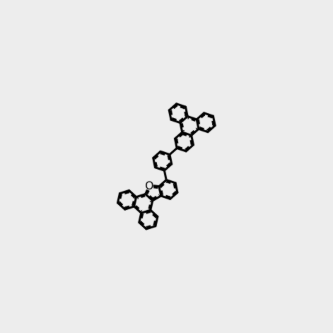 c1cc(-c2ccc3c4ccccc4c4ccccc4c3c2)cc(-c2cccc3c2oc2c4ccccc4c4ccccc4c32)c1